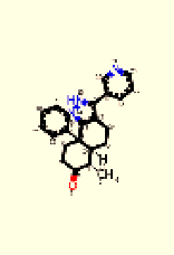 C[C@@H]1C(=O)CC[C@]2(c3ccccc3)c3n[nH]c(-c4cc[c]nc4)c3CC[C@@H]12